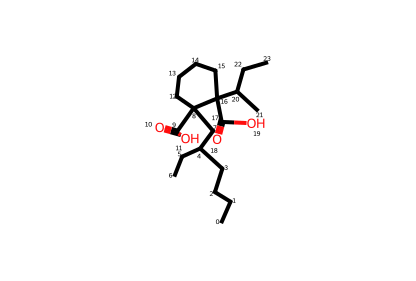 CCCCC(CC)CC1(C(=O)O)CCCCC1(C(=O)O)C(C)CC